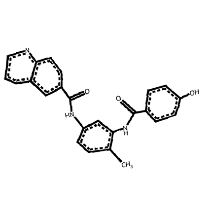 Cc1ccc(NC(=O)c2ccc3ncccc3c2)cc1NC(=O)c1ccc(O)cc1